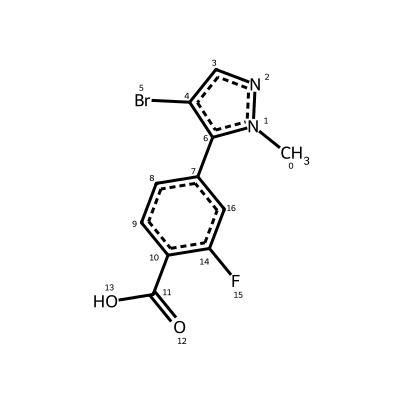 Cn1ncc(Br)c1-c1ccc(C(=O)O)c(F)c1